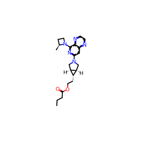 CCCC(=O)OCC[C@@H]1[C@H]2CN(c3cc4nccnc4c(N4CC[C@@H]4C)n3)C[C@@H]12